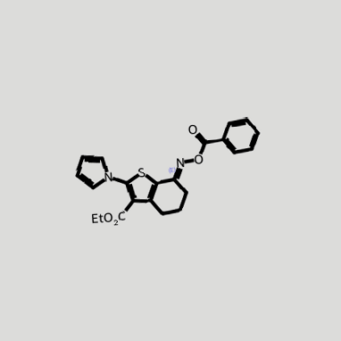 CCOC(=O)c1c(-n2cccc2)sc2c1CCC/C2=N\OC(=O)c1ccccc1